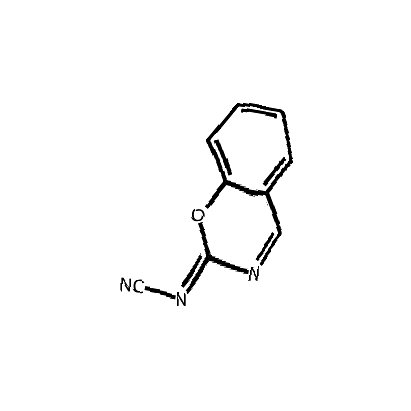 N#CN=c1ncc2ccccc2o1